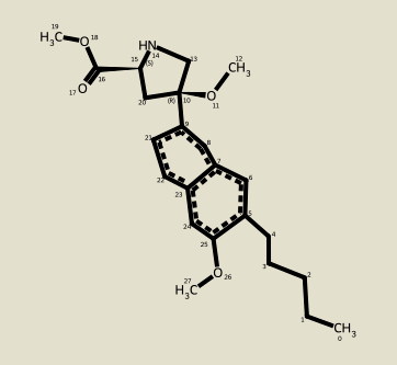 CCCCCc1cc2cc([C@@]3(OC)CN[C@H](C(=O)OC)C3)ccc2cc1OC